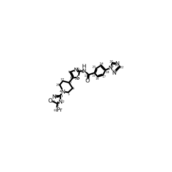 CC(C)c1nc(N2CCC(c3cnc(NC(=O)c4ccc(-n5cncn5)cc4)s3)CC2)no1